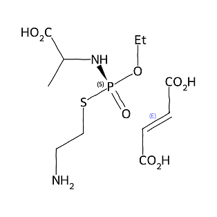 CCO[P@@](=O)(NC(C)C(=O)O)SCCN.O=C(O)/C=C/C(=O)O